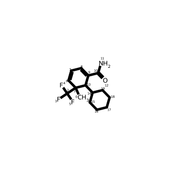 CC1(C(F)(F)F)C=CC=C(C(N)=O)C1C1CCCCC1